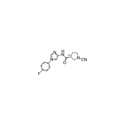 N#CN1CC[C@H](C(=O)Nc2cn(-c3ccc(F)cc3)cn2)C1